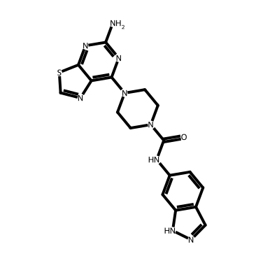 Nc1nc(N2CCN(C(=O)Nc3ccc4cn[nH]c4c3)CC2)c2ncsc2n1